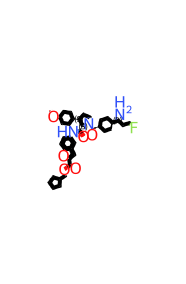 COC1CCC([C@@H]2CCN(C(=O)[C@H]3CC[C@H]([C@H](N)CCF)CC3)[C@@H]2C(=O)Nc2ccc3oc(C(=O)OCC4CCCC4)cc3c2)CC1